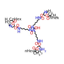 CCCCCCC(C)(C)C(=O)OCC(CN)OC(=O)NCCCCCCN1C(=O)N(CCCCCCNC(=O)OC(COC(=O)C(C)(C)CCCCCC)CN2CC2)C(=O)N(CCCCCCNC(=O)OC(COC(=O)C(C)(C)CCCCCC)CN2CC2)[C@@H]1O